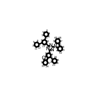 c1ccc(-c2cc(-c3ccccc3)cc(-c3nc(-c4cc(-c5ccccc5)c5c(c4)oc4ccccc45)nc(-n4c5ccccc5c5ccccc54)n3)c2)cc1